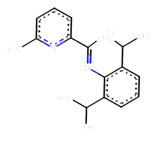 C/C(=N\c1c(C(C)C)cccc1C(C)C)c1cccc(C)n1